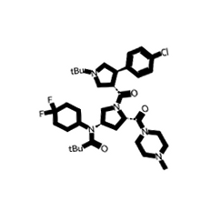 CN1CCN(C(=O)[C@@H]2C[C@H](N(C(=O)C(C)(C)C)C3CCC(F)(F)CC3)CN2C(=O)[C@@H]2CN(C(C)(C)C)C[C@H]2c2ccc(Cl)cc2)CC1